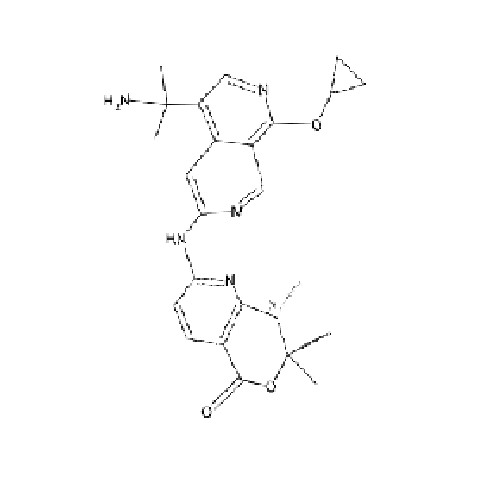 C[C@H]1c2nc(Nc3cc4c(C(C)(C)N)cnc(OC5CC5)c4cn3)ccc2C(=O)OC1(C)C